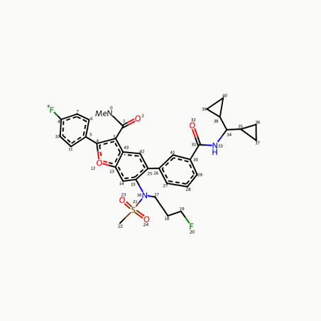 CNC(=O)c1c(-c2ccc(F)cc2)oc2cc(N(CCCF)S(C)(=O)=O)c(-c3cccc(C(=O)NC(C4CC4)C4CC4)c3)cc12